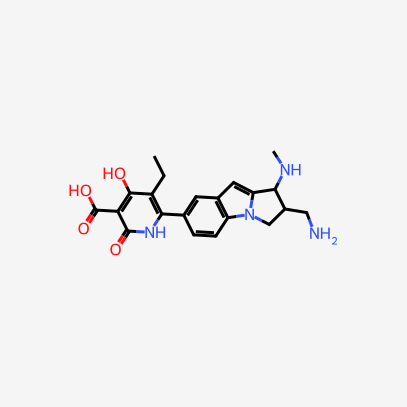 CCc1c(-c2ccc3c(c2)cc2n3CC(CN)C2NC)[nH]c(=O)c(C(=O)O)c1O